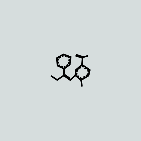 C=C(C)c1ccc(C)c(C=C(CC)c2ccccc2)c1